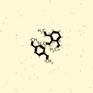 C=Cc1ccc(C=C)cc1.C=Cc1cccc(C=C)c1C=C